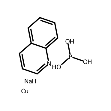 OP(O)O.[Cu].[NaH].c1ccc2ncccc2c1